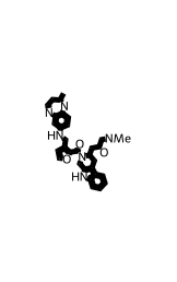 CNCC(=O)CC1Cc2c([nH]c3ccccc23)CN1C(=O)c1occc1CNc1ccc2c(c1)N=CCC(C)=N2